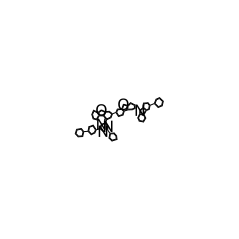 c1ccc(-c2ccc(-c3nc(-c4ccccc4)nc(-c4cc(-c5ccc6c(c5)oc5ccc(-n7c8ccccc8c8cc(-c9ccccc9)ccc87)cc56)cc5oc6ccccc6c45)n3)cc2)cc1